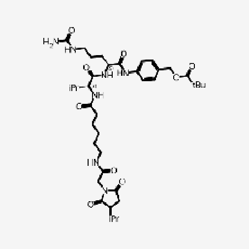 CC(C)C1CC(=O)N(CC(=O)NCCCCCC(=O)N[C@H](C(=O)N[C@@H](CCCNC(N)=O)C(=O)Nc2ccc(COC(=O)C(C)(C)C)cc2)C(C)C)C1=O